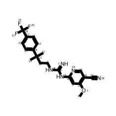 COc1cc(NC(=N)NCCC(C)(C)c2ccc(C(F)(F)F)cc2)ncc1C#N